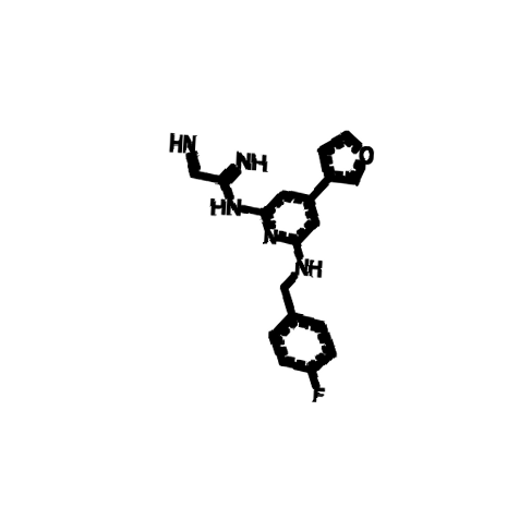 N=CC(=N)Nc1cc(-c2ccoc2)cc(NCc2ccc(F)cc2)n1